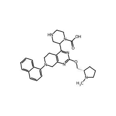 CN1CCC[C@H]1COc1nc2c(c(C3CNCCN3C(=O)O)n1)CCN(c1cccc3ccccc13)C2